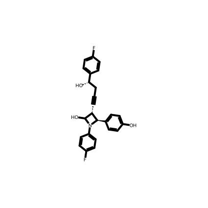 Oc1ccc([C@@H]2[C@@H](C#CC[C@H](O)c3ccc(F)cc3)C(O)N2c2ccc(F)cc2)cc1